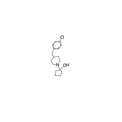 OC1(N2CCC(Cc3ccc(Cl)cc3)CC2)CCCC1